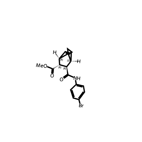 COC(=O)[C@H]1[C@H](C(=O)Nc2ccc(Br)cc2)[C@@H]2C=C[C@H]1C21CC1